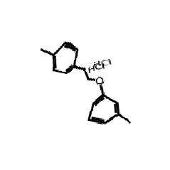 Cc1ccc(CCOc2cccc(C)c2)cc1.Cl.Cl